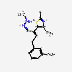 CNc1cccc(C/C=C(\C=N/NC=O)c2sc(C)nc2NC)c1